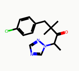 CC(C(=O)C(C)(C)Cc1ccc(Cl)cc1)n1cncn1